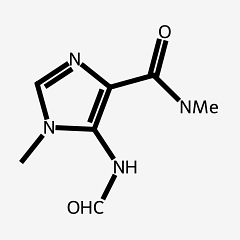 CNC(=O)c1ncn(C)c1NC=O